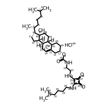 CC(C)CCC[C@@H](C)[C@H]1CC[C@H]2[C@@H]3CC=C4C[C@@H](OC(=O)NCCNc5c(NCCCCN(C)C)c(=O)c5=O)CC[C@]4(C)[C@H]3CC[C@]12C.Cl